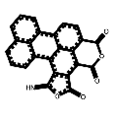 N=c1oc(=O)c2c3c4c(ccc5c6cccc7cccc(c76)c(c12)c45)C(=O)OC3=O